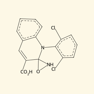 O=C(O)C1=Cc2ccccc2N(c2c(Cl)cccc2Cl)C12NO2